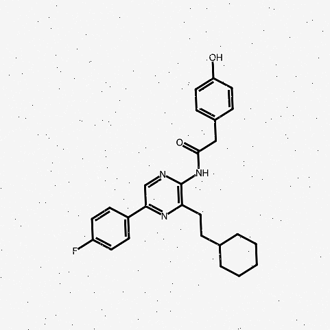 O=C(Cc1ccc(O)cc1)Nc1ncc(-c2ccc(F)cc2)nc1CCC1CCCCC1